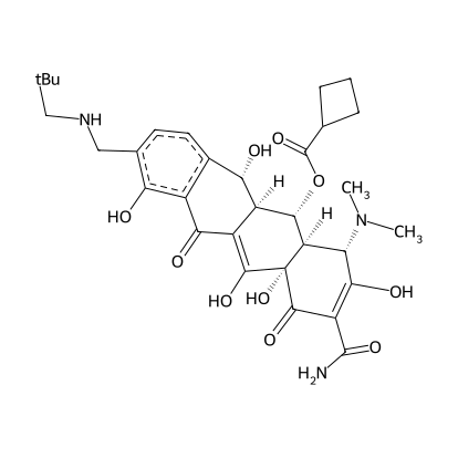 CN(C)[C@@H]1C(O)=C(C(N)=O)C(=O)[C@@]2(O)C(O)=C3C(=O)c4c(ccc(CNCC(C)(C)C)c4O)[C@H](O)[C@H]3[C@H](OC(=O)C3CCC3)[C@@H]12